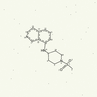 CS(=O)(=O)N1CCC(Nc2cccc3ccncc23)CC1